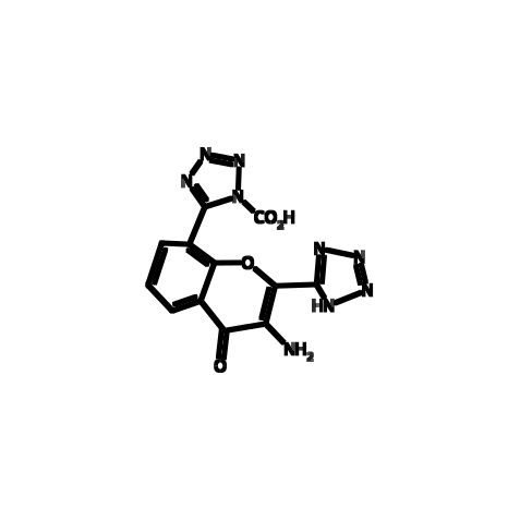 Nc1c(-c2nnn[nH]2)oc2c(-c3nnnn3C(=O)O)cccc2c1=O